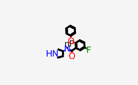 CCCN(C(=O)c1cc(F)ccc1Oc1ccccc1)[C@H]1CCNC1